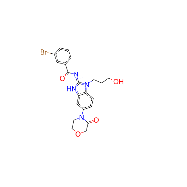 O=C(/N=c1\[nH]c2cc(N3CCOCC3=O)ccc2n1CCCO)c1cccc(Br)c1